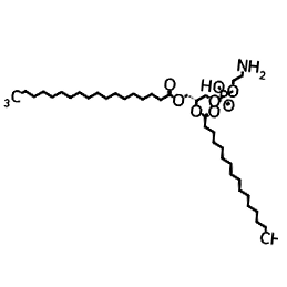 CCCCCCCCCCCCCCCCCC(=O)OC[C@H](COP(=O)(O)OCCN)OC(=O)CCCCCCCCCCCCCCC